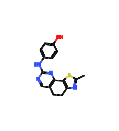 Cc1nc2c(s1)-c1nc(Nc3ccc(O)cc3)ncc1CC2